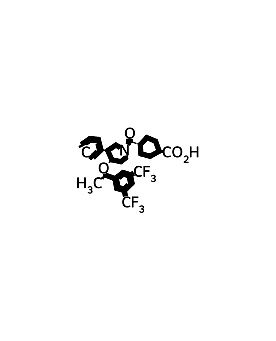 C[C@@H](O[C@H]1CCN(C(=O)[C@H]2CC[C@H](C(=O)O)CC2)C[C@H]1c1ccccc1)c1cc(C(F)(F)F)cc(C(F)(F)F)c1